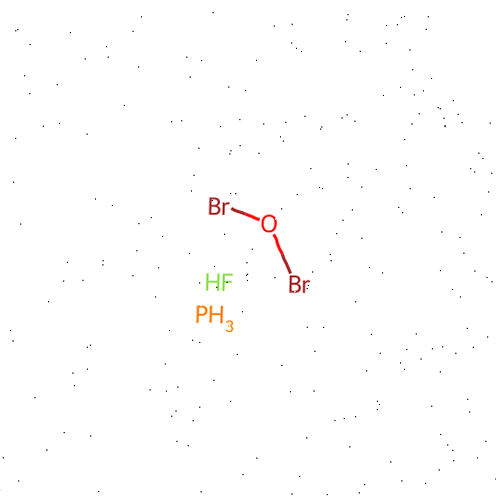 BrOBr.F.P